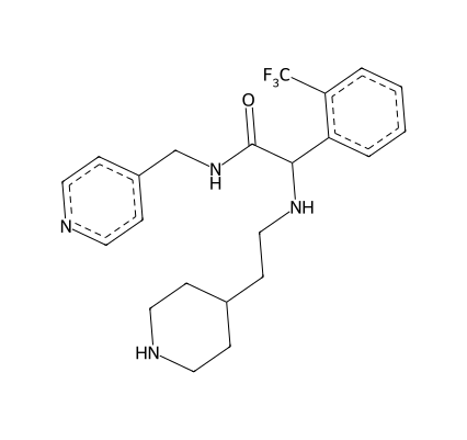 O=C(NCc1ccncc1)C(NCCC1CCNCC1)c1ccccc1C(F)(F)F